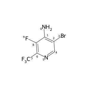 Nc1c(Br)cnc(C(F)(F)F)c1F